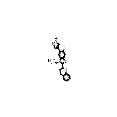 CCn1c(C2CCc3ccccc3O2)nc2cc(F)c(-c3cn[nH]c3)cc21